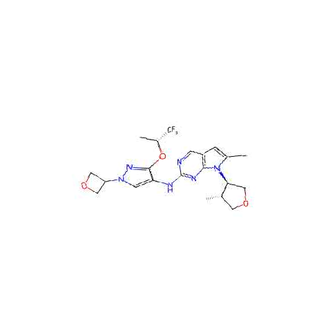 Cc1cc2cnc(Nc3cn(C4COC4)nc3O[C@H](C)C(F)(F)F)nc2n1[C@H]1COC[C@@H]1C